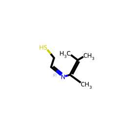 CC(C)=C(C)/N=C\CS